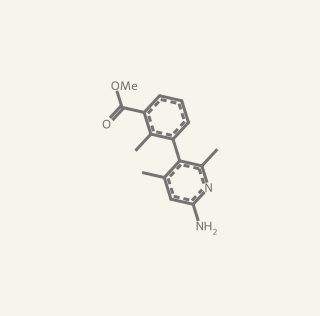 COC(=O)c1cccc(-c2c(C)cc(N)nc2C)c1C